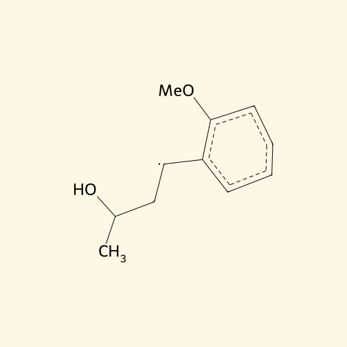 COc1ccccc1[CH]CC(C)O